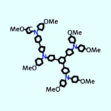 COc1ccc(N(c2ccc(OC)cc2)c2ccc(-c3ccc(N(c4ccc(OC)cc4)c4ccc(-c5cc(-c6ccc(N(c7ccc(OC)cc7)c7ccc(OC)cc7)cc6)cc(-c6ccc(N(c7ccc(OC)cc7)c7ccc(OC)cc7)cc6)c5)cc4)cc3)cc2)cc1